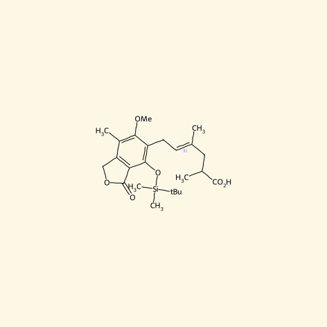 COc1c(C)c2c(c(O[Si](C)(C)C(C)(C)C)c1C/C=C(\C)CC(C)C(=O)O)C(=O)OC2